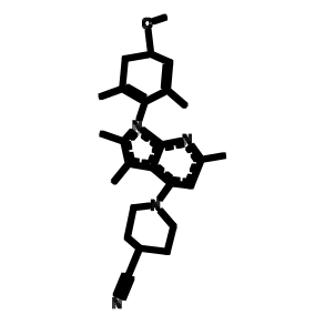 COC1C=C(C)C(n2c(C)c(C)c3c(N4CCC(C#N)CC4)cc(C)nc32)=C(C)C1